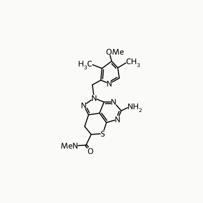 CNC(=O)C1Cc2nn(Cc3ncc(C)c(OC)c3C)c3nc(N)nc(c23)S1